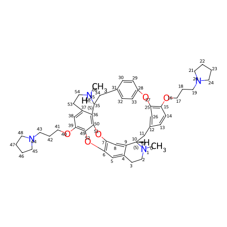 CN1CCc2cc3c4cc2[C@@H]1Cc1ccc(OCCCN2CCCC2)c(c1)Oc1ccc(cc1)C[C@H]1c2c(cc(OCCCN5CCCC5)c(c2O4)O3)CCN1C